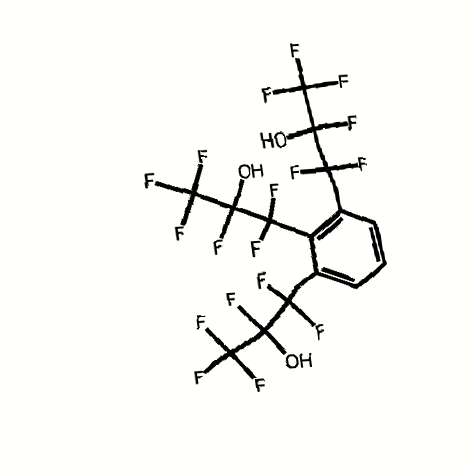 OC(F)(C(F)(F)F)C(F)(F)c1cccc(C(F)(F)C(O)(F)C(F)(F)F)c1C(F)(F)C(O)(F)C(F)(F)F